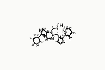 CCCc1c(Cn2ccnc2-c2ncccc2F)ncn2c(-c3ccccc3)nnc12